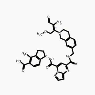 COC/C(=C(/N)C=O)N1CCc2ccc(CNC(=O)c3cc(C(=O)N[C@H]4CCc5c4ccc(C(=O)O)c5C)n4nccc4n3)cc2C1